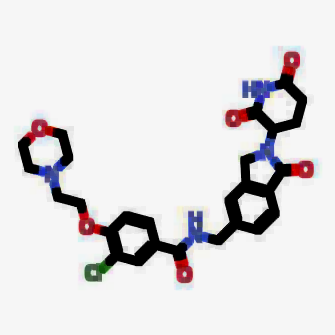 O=C1CCC(N2Cc3cc(CNC(=O)c4ccc(OCCN5CCOCC5)c(Cl)c4)ccc3C2=O)C(=O)N1